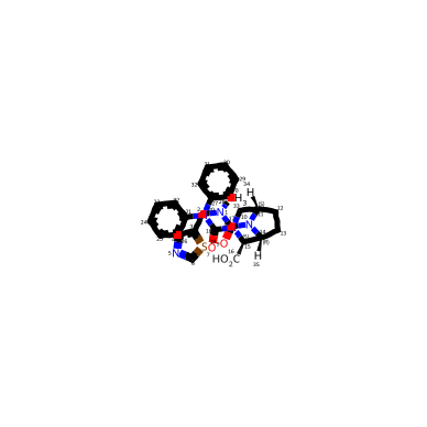 CN(Cc1cncs1)C(=O)N1[C@H]2CC[C@@H]1[C@@H](C(=O)O)N(C(=O)N(c1ccccc1)c1ccccc1)C2